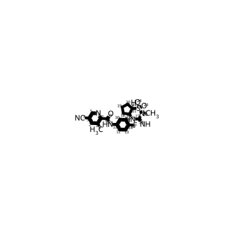 Cc1cc(C#N)cnc1C(=O)Nc1ccc(F)c([C@]23CCC[C@H]2S(=O)(=O)N(C)C(=N)N3)c1